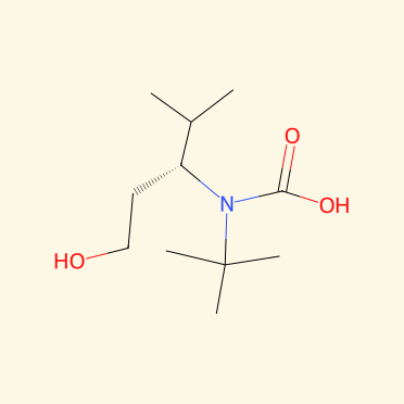 CC(C)[C@@H](CCO)N(C(=O)O)C(C)(C)C